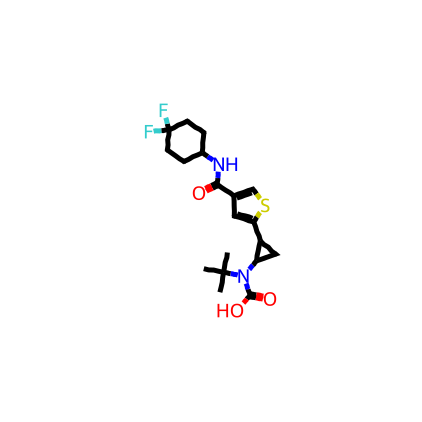 CC(C)(C)N(C(=O)O)C1CC1c1cc(C(=O)NC2CCC(F)(F)CC2)cs1